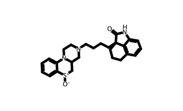 O=C1Nc2cccc3c2C1(CCCCN1CCN2c4ccccc4[S+]([O-])CC2C1)CCC3